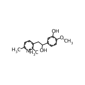 COc1ccc(C(O)Cc2ccc(C)nc2C)cc1O